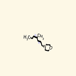 CC/C=C(C)\C=C\CN1CCOCC1